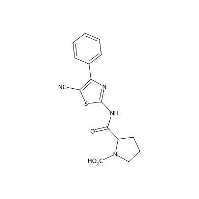 N#Cc1sc(NC(=O)C2CCCN2C(=O)O)nc1-c1ccccc1